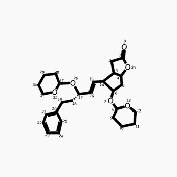 O=C1CC2C(CC(OC3CCCCO3)C2/C=C/[C@H](CCc2ccccc2)OC2CCCCO2)O1